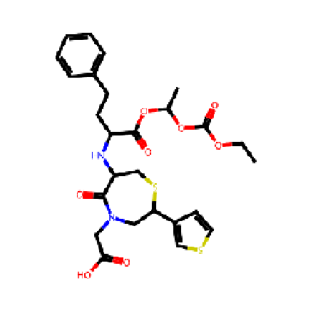 CCOC(=O)OC(C)OC(=O)C(CCc1ccccc1)NC1CSC(c2ccsc2)CN(CC(=O)O)C1=O